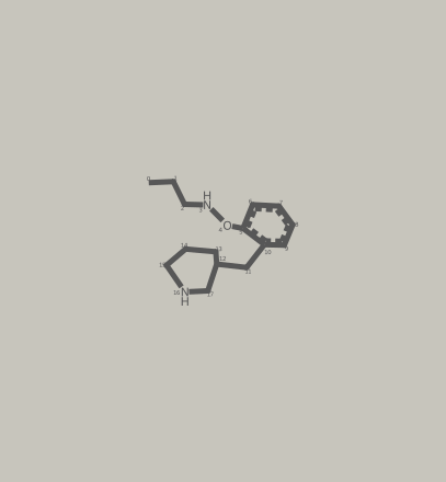 CCCNOc1ccccc1CC1CCCNC1